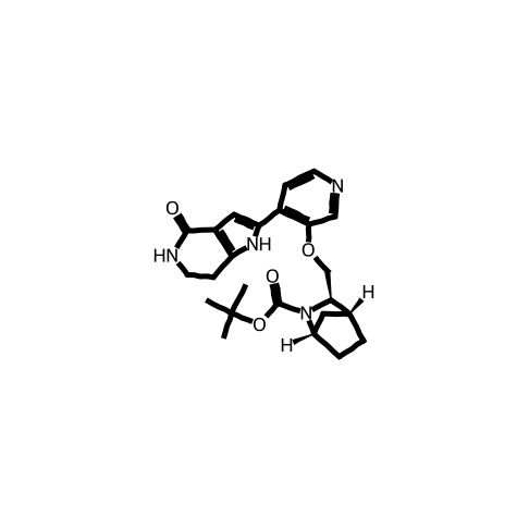 CC(C)(C)OC(=O)N1[C@H]2CC[C@H](C2)[C@@H]1COc1cnccc1-c1cc2c([nH]1)CCNC2=O